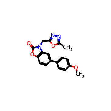 Cc1nnc(Cn2c(=O)oc3ccc(-c4ccc(OC(F)(F)F)cc4)cc32)o1